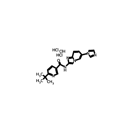 CC(C)(C)c1ccc(C(=O)Nc2cn3cc(-n4ccnc4)ccc3n2)cn1.Cl.Cl.Cl